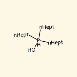 CCCCCCC[PH](O)(CCCCCCC)CCCCCCC